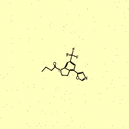 CCCC(=O)N1CCc2c(-c3cnco3)cc(C(F)(F)F)cc21